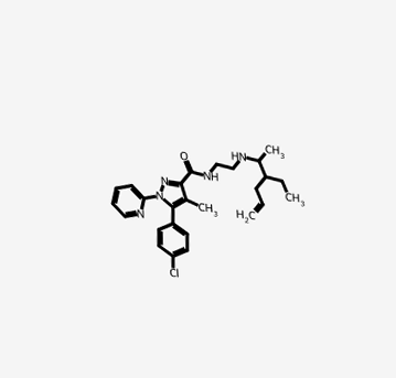 C=CCC(CC)C(C)NCCNC(=O)c1nn(-c2ccccn2)c(-c2ccc(Cl)cc2)c1C